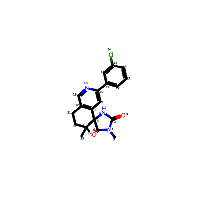 CN1C(=O)NC2(C1=O)c1cc(-c3cccc(Cl)c3)ncc1CCC2(C)C